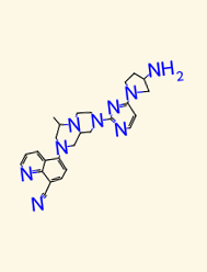 CC1CN(c2ccc(C#N)c3ncccc23)CC2CN(c3nccc(N4CCC(N)C4)n3)CCN12